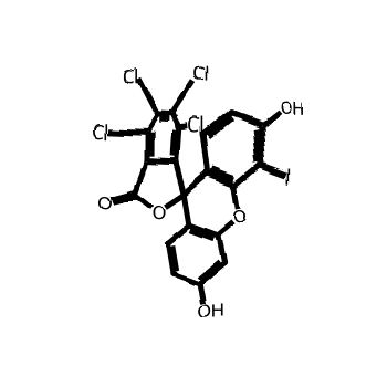 O=C1OC2(c3ccc(O)cc3Oc3c2ccc(O)c3I)c2c(Cl)c(Cl)c(Cl)c(Cl)c21